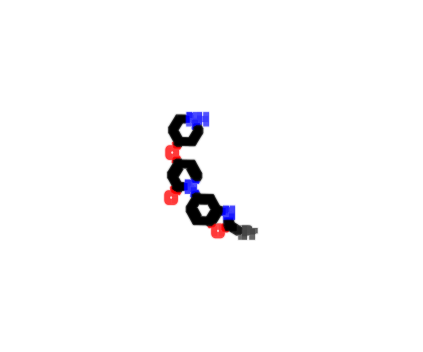 CC(C)c1nc2cc(-n3ccc(OC4CCNCC4)cc3=O)ccc2o1